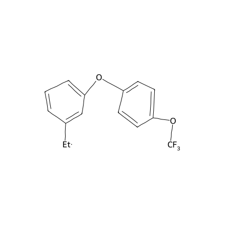 C[CH]c1cccc(Oc2ccc(OC(F)(F)F)cc2)c1